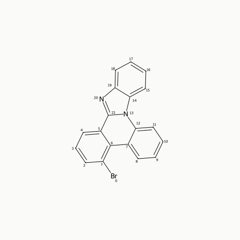 Brc1cccc2c1c1ccccc1n1c3ccccc3nc21